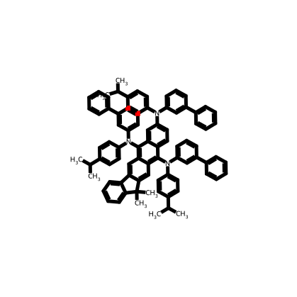 CC(C)c1ccc(N(c2cccc(-c3ccccc3)c2)c2ccc3c(N(c4ccc(C(C)C)cc4)c4cccc(-c5ccccc5)c4)c4cc5c(cc4c(N(c4ccc(C(C)C)cc4)c4cccc(-c6ccccc6)c4)c3c2)-c2ccccc2C5(C)C)cc1